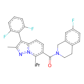 Cc1nn2c(C(C)C)c(C(=O)N3CCc4ccc(F)cc4C3)ccc2c1-c1c(F)cccc1F